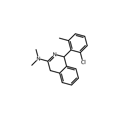 Cc1cccc(Cl)c1C1N=C(N(C)C)Cc2ccccc21